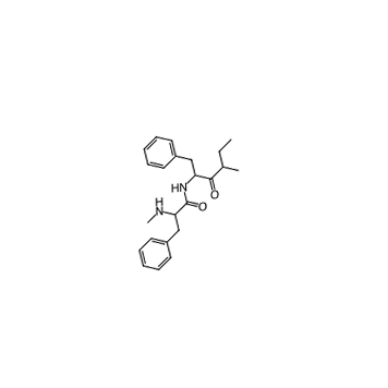 CCC(C)C(=O)C(Cc1ccccc1)NC(=O)C(Cc1ccccc1)NC